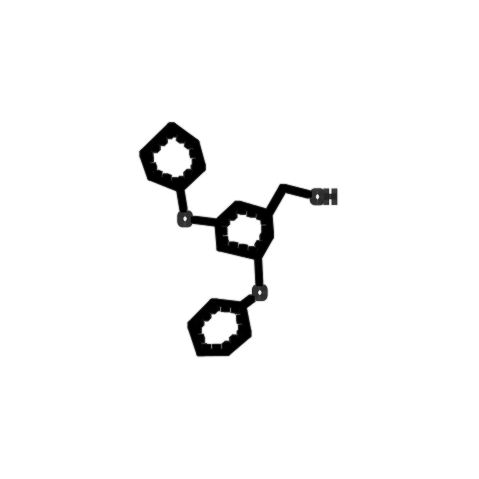 OCc1cc(Oc2ccccc2)cc(Oc2ccccc2)c1